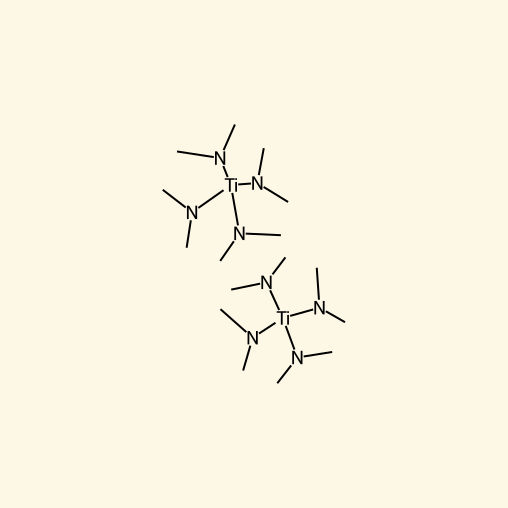 C[N](C)[Ti]([N](C)C)([N](C)C)[N](C)C.C[N](C)[Ti]([N](C)C)([N](C)C)[N](C)C